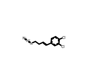 [N-]=[N+]=NCCC=Cc1ccc(Cl)c(Cl)c1